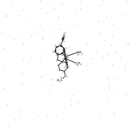 COC1CCC2(CC1)Cc1ccc(C#N)cc1C21N=C(N)N(C)C1=O